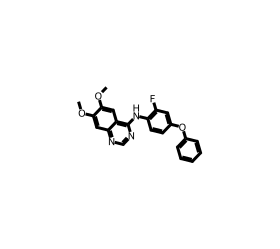 COc1cc2ncnc(Nc3ccc(Oc4ccccc4)cc3F)c2cc1OC